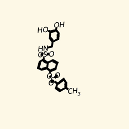 Cc1ccc(S(=O)(=O)Oc2cccc3c(S(=O)(=O)NCc4ccc(O)c(O)c4)cccc23)cc1